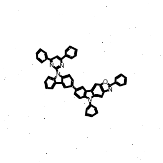 c1ccc(-c2cc(-c3ccccc3)nc(-n3c4ccccc4c4cc(-c5ccc6c(c5)c5cc7oc(-c8ccccc8)nc7cc5n6-c5ccccc5)ccc43)n2)cc1